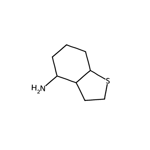 NC1CCCC2SCCC12